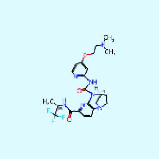 C[C@@H](NC(=O)c1ccc2c(n1)N(C(=O)Nc1cc(OCCN(C)C)ccn1)[C@H]1CCN2C1)C(F)(F)F